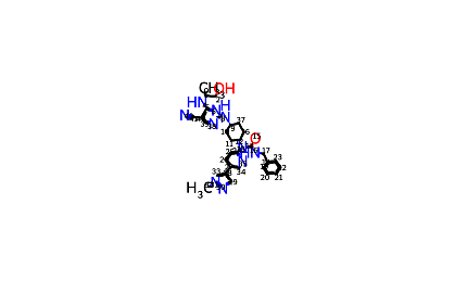 CC(CO)Nc1nc(N[C@H]2CC[C@H](N(C(=O)NCc3ccccc3)c3ccc(-c4cnn(C)c4)cn3)CC2)ncc1C#N